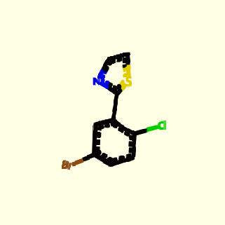 Clc1ccc(Br)cc1-c1nccs1